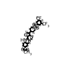 CS(=O)(=O)c1ccc(Nc2ncnc3c(C4CCN(S(=O)(=O)c5cc(C(F)(F)F)cc(C(F)(F)F)c5)CC4)coc23)c(F)c1